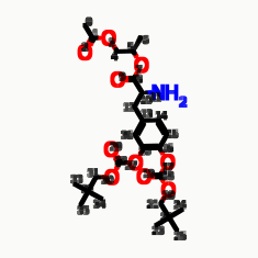 CC(=O)OC[C@@H](C)OC(=O)[C@@H](N)Cc1ccc(OC(=O)OCC(C)(C)C)c(OC(=O)OCC(C)(C)C)c1